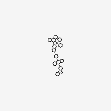 c1ccc(C2(c3ccccc3)c3cc4cc(-c5ccc(-c6c7ccccc7c(-c7ccc8oc9ccccc9c8c7)c7ccccc67)cc5)ccc4cc3-c3c2c2ccccc2c2ccccc32)cc1